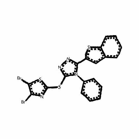 Brc1nc(Sc2nnc(-c3cc4ccccc4s3)n2-c2ccccc2)sc1Br